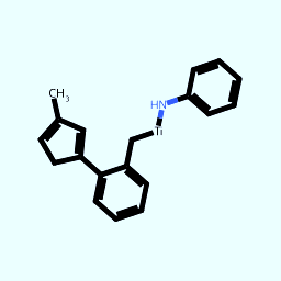 CC1=CCC(c2ccccc2[CH2][Ti][NH]c2ccccc2)=C1